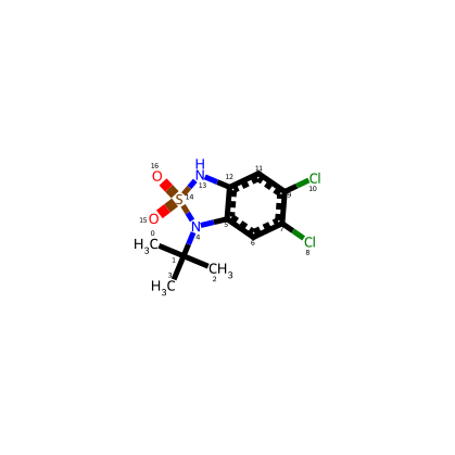 CC(C)(C)N1c2cc(Cl)c(Cl)cc2NS1(=O)=O